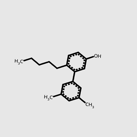 CCCCCc1ccc(O)cc1-c1cc(C)cc(C)c1